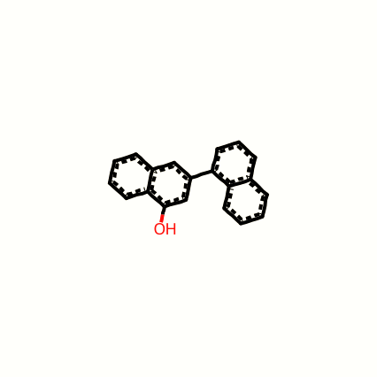 Oc1cc(-c2cccc3ccccc23)cc2ccccc12